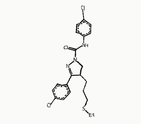 CCSCCCC1CN(C(=O)Nc2ccc(Cl)cc2)N=C1c1ccc(Cl)cc1